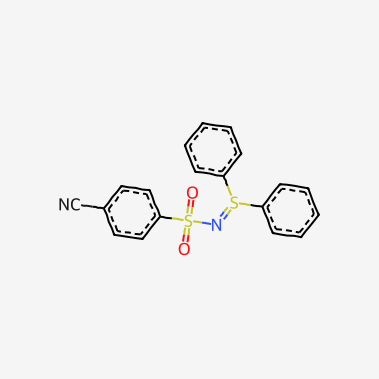 N#Cc1ccc(S(=O)(=O)N=S(c2ccccc2)c2ccccc2)cc1